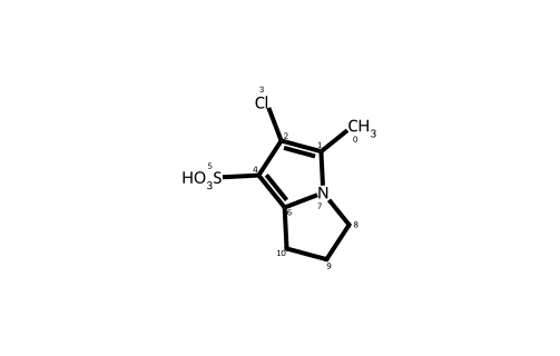 Cc1c(Cl)c(S(=O)(=O)O)c2n1CCC2